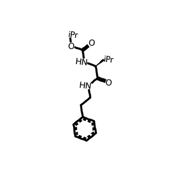 CC(C)OC(=O)N[C@H](C(=O)NCCc1ccccc1)C(C)C